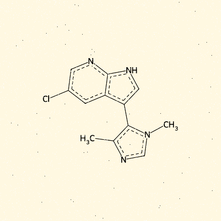 Cc1ncn(C)c1-c1c[nH]c2ncc(Cl)cc12